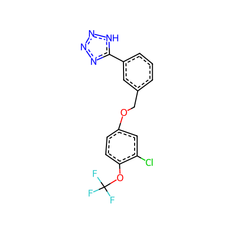 FC(F)(F)Oc1ccc(OCc2cccc(-c3nnn[nH]3)c2)cc1Cl